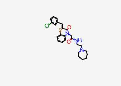 O=C(CN1C(=O)/C(=C/c2cccc(Cl)c2)Sc2ccccc21)NCCN1CCCCCC1